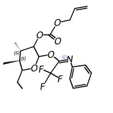 C=CCOC(=O)OC1C(O/C(=N/c2ccccc2)C(F)(F)F)OC(CC)[C@@H](C)[C@@H]1C